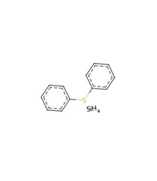 [SiH4].c1ccc(Sc2ccccc2)cc1